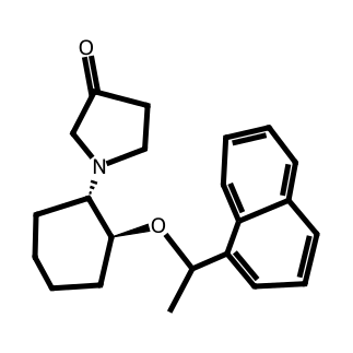 CC(O[C@H]1CCCC[C@@H]1N1CCC(=O)C1)c1cccc2ccccc12